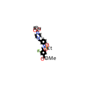 CCS(=O)(=O)N(Cc1ccc(C(=O)OC)cc1F)c1cccc(CN2CCN(C(=O)OC(C)(C)C)CC2)c1